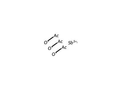 CC(=O)[O-].CC(=O)[O-].CC(=O)[O-].[Sb+3]